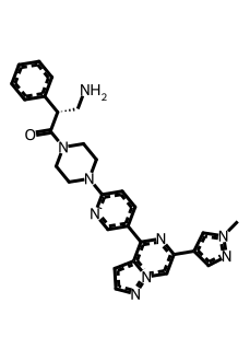 Cn1cc(-c2cn3nccc3c(-c3ccc(N4CCN(C(=O)[C@@H](CN)c5ccccc5)CC4)nc3)n2)cn1